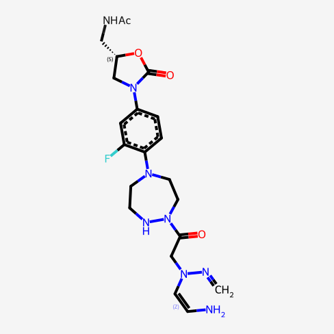 C=NN(/C=C\N)CC(=O)N1CCN(c2ccc(N3C[C@H](CNC(C)=O)OC3=O)cc2F)CCN1